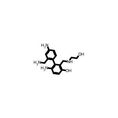 NCc1cc(N)ccc1-c1c(N)ccc(O)c1CNCCO